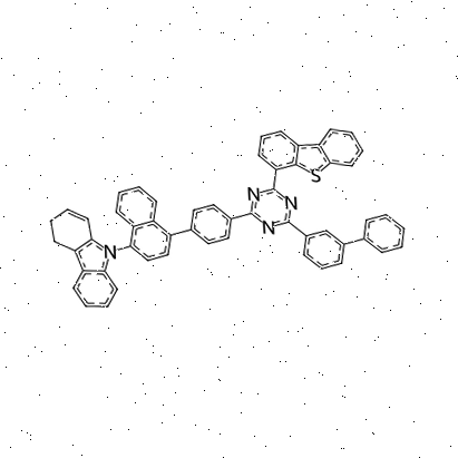 C1=Cc2c(c3ccccc3n2-c2ccc(-c3ccc(-c4nc(-c5cccc(-c6ccccc6)c5)nc(-c5cccc6c5sc5ccccc56)n4)cc3)c3ccccc23)CC1